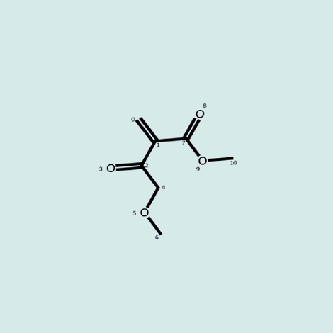 C=C(C(=O)COC)C(=O)OC